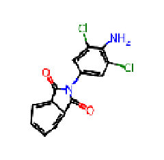 Nc1c(Cl)cc(N2C(=O)c3ccccc3C2=O)cc1Cl